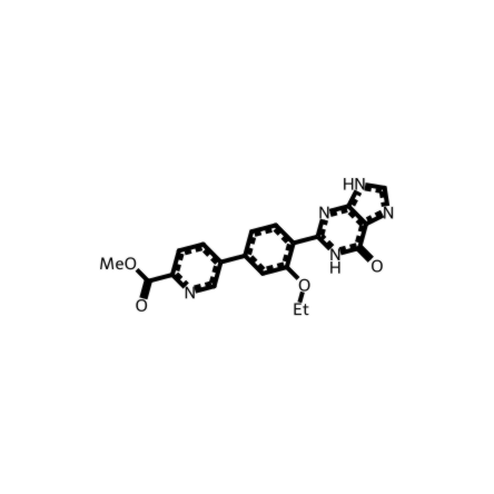 CCOc1cc(-c2ccc(C(=O)OC)nc2)ccc1-c1nc2[nH]cnc2c(=O)[nH]1